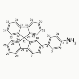 Nc1ccc(-c2ccc3c(c2)C2(c4ccccc4-c4ccccc42)c2ccccc2-3)cc1